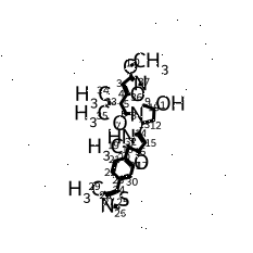 COc1cc([C@H](C(=O)N2C[C@H](O)C[C@H]2C2=CC(=O)[C@@](C)(c3ccc(-c4scnc4C)cc3)N2)C(C)C)on1